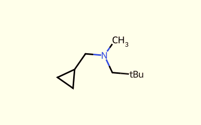 CN(CC1CC1)CC(C)(C)C